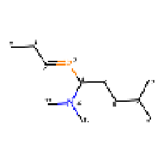 CCC=PC(CCC(C)C)N(C)C